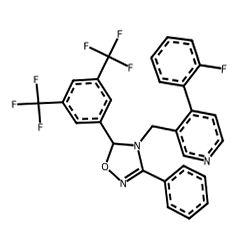 Fc1ccccc1-c1ccncc1CN1C(c2ccccc2)=NOC1c1cc(C(F)(F)F)cc(C(F)(F)F)c1